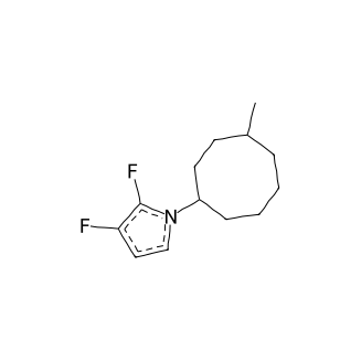 CC1CCCCC(n2ccc(F)c2F)CC1